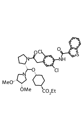 CCOC(=O)[C@H]1CC[C@H](OC([C@@H]2CCCN2C(=O)Cc2cc(Cl)c(NC(=O)c3csc4ccccc34)cc2Cl)N2C[C@H](OC)[C@H](OC)C2)CC1